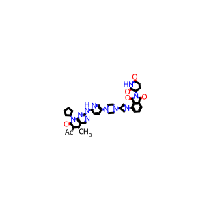 CC(=O)c1c(C)c2cnc(Nc3ccc(N4CCN(C5CN(c6cccc7c6C(=O)N(C6CCC(=O)NC6=O)C7=O)C5)CC4)cn3)nc2n(C2CCCC2)c1=O